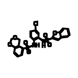 O=S(=O)(Nc1cc(Cl)ccc1NS(=O)(=O)c1cccc2c1COCO2)c1cc2ccccc2o1